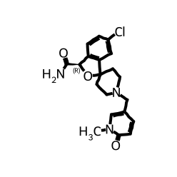 Cn1cc(CN2CCC3(CC2)O[C@@H](C(N)=O)c2ccc(Cl)cc23)ccc1=O